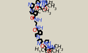 CN[C@@H](C)C(=O)N[C@H](C(=O)N1CCC[C@H]1c1cncc(-n2ccc3c(C(=O)NCCCNC(=O)c4cccc5c4ccn5-c4cncc([C@@H]5CCCN5C(=O)[C@@H](NC(=O)[C@H](C)NC)C(C)C)c4)cccc32)c1)C(C)C